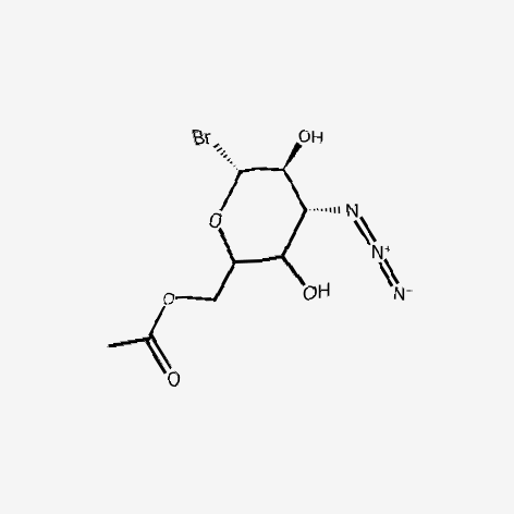 CC(=O)OCC1O[C@H](Br)[C@@H](O)[C@H](N=[N+]=[N-])C1O